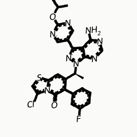 CC(C)Oc1ncc(-c2nn([C@@H](C)c3cc4scc(Cl)n4c(=O)c3-c3cccc(F)c3)c3ncnc(N)c23)cn1